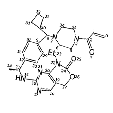 C=CC(=O)N1CCN(C(c2ccc([C@H](C)Nc3ncc4c(n3)N(CC)C(=O)OC4)cc2)C2CCC2)CC1